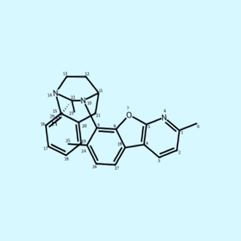 Cc1ccc2c(n1)oc1c(N3C4CCN(c5ccccc5C4)[C@@H]3C)c(C)ccc12